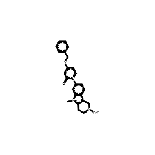 CCCN1CCc2c(c3ccc(-n4ccc(OCc5ccccc5)cc4=O)cc3n2C)C1